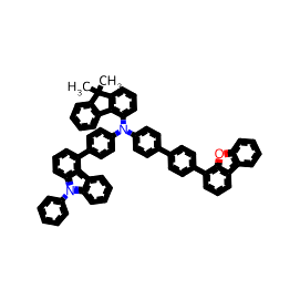 CC1(C)c2ccccc2-c2c(N(c3ccc(-c4ccc(-c5cccc6c5oc5ccccc56)cc4)cc3)c3ccc(-c4cccc5c4c4ccccc4n5-c4ccccc4)cc3)cccc21